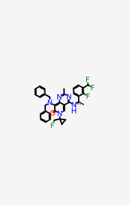 Cc1nc(N[C@H](C)c2cccc(C(F)F)c2F)c2cn(C3(CF)CC3)c(=O)c(N(Cc3ccccc3)Cc3ccccc3)c2n1